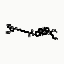 CC(C)CCCC(C)[C@H]1CC[C@H]2C3CC=C4C[C@@H](OC(=O)NCCCCCCO[C@@H]5C[C@H](O)[C@@H](CO)O5)CC[C@]4(C)[C@H]3CC[C@]12C